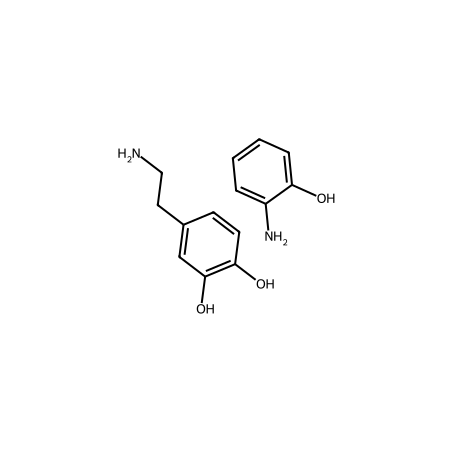 NCCc1ccc(O)c(O)c1.Nc1ccccc1O